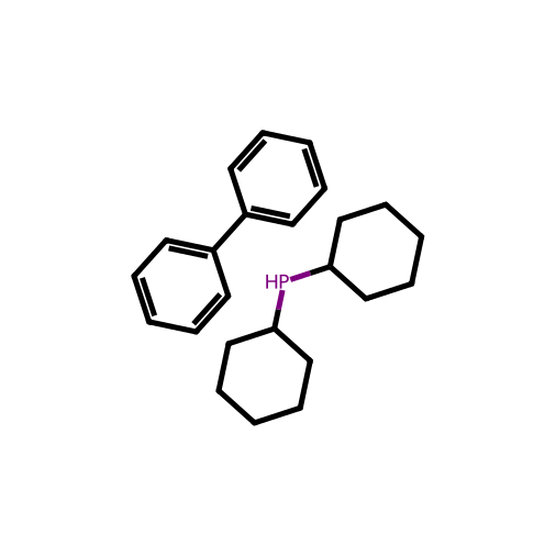 C1CCC(PC2CCCCC2)CC1.c1ccc(-c2ccccc2)cc1